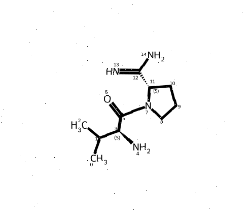 CC(C)[C@H](N)C(=O)N1CCC[C@H]1C(=N)N